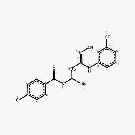 CC(C)(C)C(NC(=O)c1ccc(Cl)cc1)N/C(=N/C#N)Nc1cccc(C(F)(F)F)c1